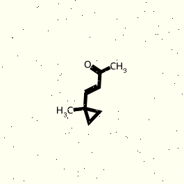 CC(=O)C=CC1(C)CC1